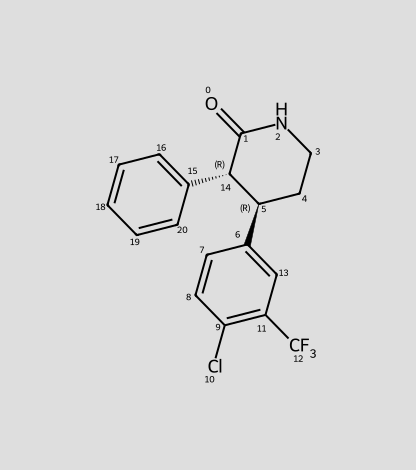 O=C1NCC[C@@H](c2ccc(Cl)c(C(F)(F)F)c2)[C@@H]1c1ccccc1